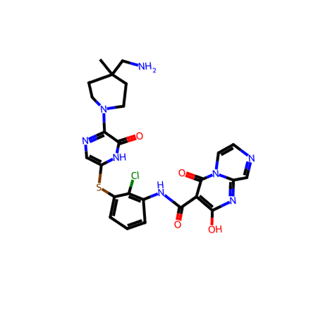 CC1(CN)CCN(c2ncc(Sc3cccc(NC(=O)c4c(O)nc5cnccn5c4=O)c3Cl)[nH]c2=O)CC1